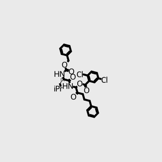 CC(C)C[C@H](NC(=O)OCc1ccccc1)C(=O)NC(OC(=O)c1cc(Cl)ccc1Cl)C(=O)CCCc1ccccc1